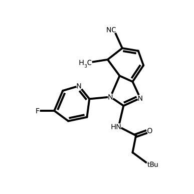 CC1C(C#N)=CC=C2N=C(NC(=O)CC(C)(C)C)N(c3ccc(F)cn3)C21